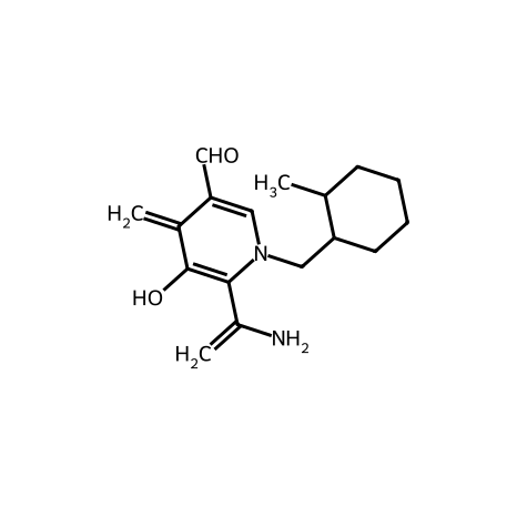 C=C(N)C1=C(O)C(=C)C(C=O)=CN1CC1CCCCC1C